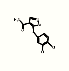 NC(=O)c1cn[nH]c1[CH]c1ccc(Cl)c(Cl)c1